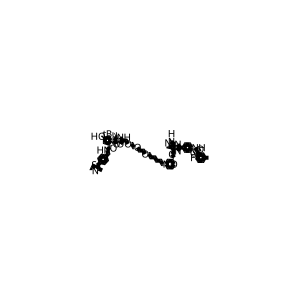 Cc1ccc(F)c(S(=O)(=O)Nc2ccc(-c3nc(OC[C@H]4CN(CCCCCCOCCOCCOCC(=O)N[C@H](C(=O)N5C[C@H](O)C[C@H]5C(=O)NCc5ccc(-c6scnc6C)cc5)C(C)(C)C)CCO4)c4cn[nH]c4n3)cc2)c1